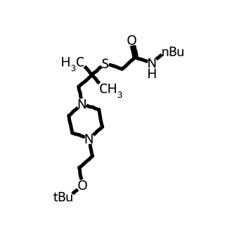 CCCCNC(=O)CSC(C)(C)CN1CCN(CCOC(C)(C)C)CC1